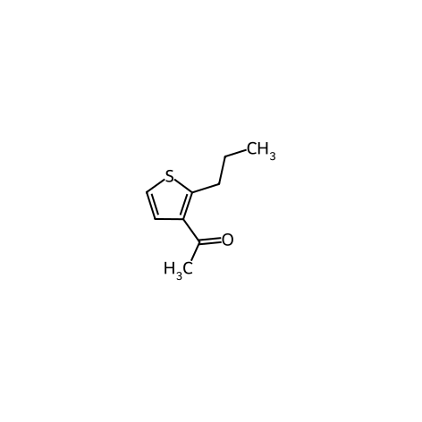 CCCc1sccc1C(C)=O